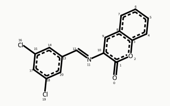 O=c1oc2ccccc2cc1N=Cc1cc(Cl)cc(Cl)c1